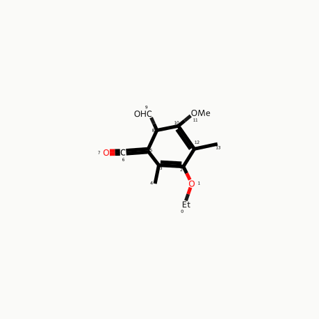 CCOC1=C(C)C(=C=O)C(C=O)C(OC)=C1C